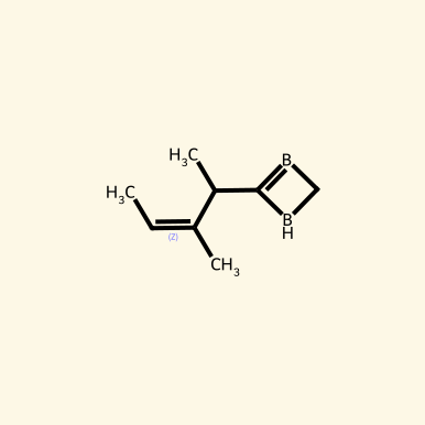 C/C=C(/C)C(C)C1=BCB1